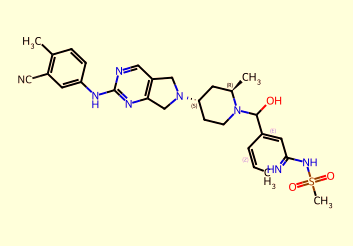 C/C=C\C(=C/C(=N)NS(C)(=O)=O)C(O)N1CC[C@H](N2Cc3cnc(Nc4ccc(C)c(C#N)c4)nc3C2)C[C@H]1C